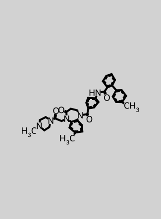 Cc1ccc(-c2ccccc2C(=O)Nc2ccc(C(=O)N3CCC(=O)N(CC(=O)N4CCN(C)CC4)c4cc(C)ccc43)cc2)cc1